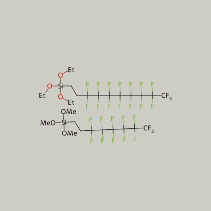 CCO[Si](CCC(F)(F)C(F)(F)C(F)(F)C(F)(F)C(F)(F)C(F)(F)C(F)(F)C(F)(F)F)(OCC)OCC.CO[Si](CCC(F)(F)C(F)(F)C(F)(F)C(F)(F)C(F)(F)C(F)(F)F)(OC)OC